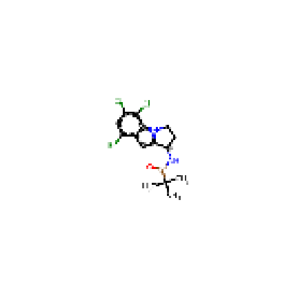 CC(C)(C)[S+]([O-])N[C@@H]1CCn2c1cc1c(Br)cc(Cl)c(Cl)c12